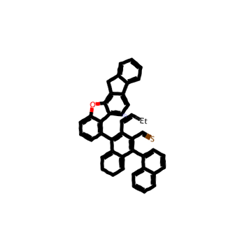 CC/C=C\c1c(C=S)c(-c2cccc3ccccc23)c2c(c1-c1cccc3oc4c5c(ccc4c13)-c1ccccc1C5)=CCCC=2